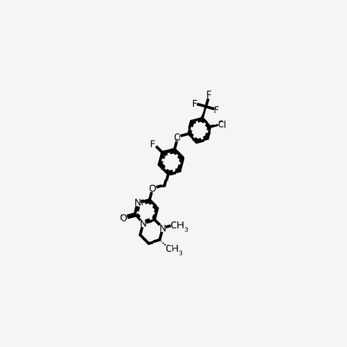 C[C@@H]1CCn2c(cc(OCc3ccc(Oc4ccc(Cl)c(C(F)(F)F)c4)c(F)c3)nc2=O)N1C